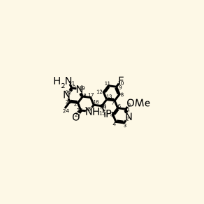 COc1ncccc1-c1cc(F)ccc1[C@@H](C(C)C)C1Cc2nc(N)nc(C)c2C(=O)N1